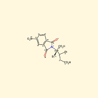 CCC(CC(=O)O)[C@@](CC)(C(=O)O)N1C(=O)c2ccc([N+](=O)[O-])cc2C1=O